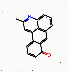 Cc1cc2c3c(cc4cccc(n1)c42)C(=O)C=CC=3